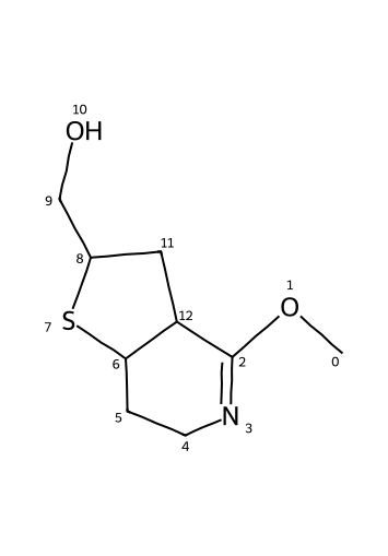 COC1=NCCC2SC(CO)CC12